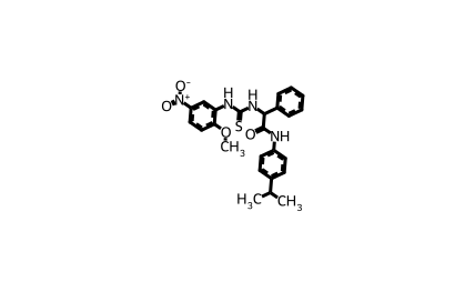 COc1ccc([N+](=O)[O-])cc1NC(=S)NC(C(=O)Nc1ccc(C(C)C)cc1)c1ccccc1